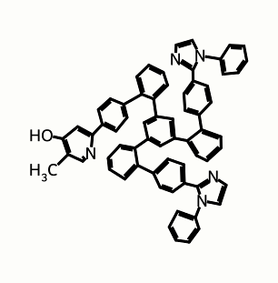 Cc1cnc(-c2ccc(-c3ccccc3-c3cc(-c4ccccc4-c4ccc(-c5nccn5-c5ccccc5)cc4)cc(-c4ccccc4-c4ccc(-c5nccn5-c5ccccc5)cc4)c3)cc2)cc1O